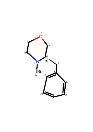 CC(C)(C)N1CCOC[C@@H]1Cc1ccccc1